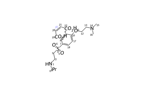 CC(C)NCCS(=O)(=O)c1ccc(OCCN(C)C)cc1.O=C(O)/C=C\C(=O)O